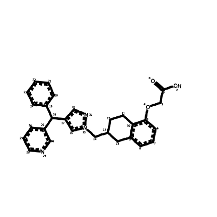 O=C(O)COc1cccc2c1CCC(Cn1cc(C(c3ccccc3)c3cccnc3)cn1)C2